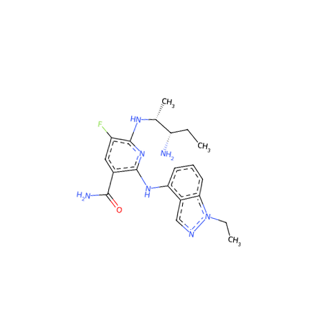 CC[C@H](N)[C@@H](C)Nc1nc(Nc2cccc3c2cnn3CC)c(C(N)=O)cc1F